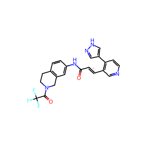 O=C(/C=C/c1cnccc1-c1cn[nH]c1)Nc1ccc2c(c1)CN(C(=O)C(F)(F)F)CC2